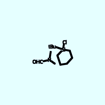 CC(C)(C)[Si]1(Cl)CCCCC1.CN(C)C=O